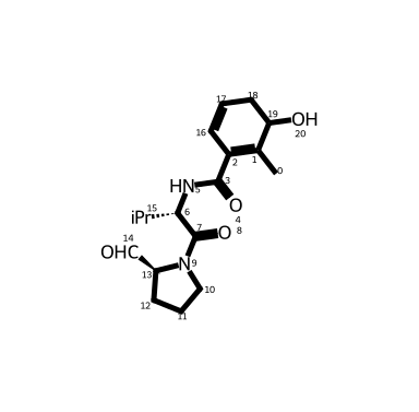 CC1=C(C(=O)N[C@H](C(=O)N2CCC[C@H]2C=O)C(C)C)C=CCC1O